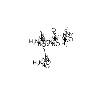 C=CCN(C)c1nc2c(N)nc3ccccc3c2n1CC(C)C.CC(C)Cn1c(SCc2ccccc2)nc2c(N)nc3ccccc3c21.CCCCCN(C)c1nc2c(N)nc3ccccc3c2n1CC(C)C.CCCSc1nc2c(N)nc3ccccc3c2n1CC(C)C